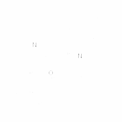 C=CCn1c(C)c(C)c2ccnc(OCC(C)C)c21